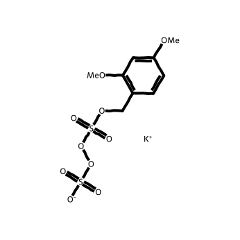 COc1ccc(COS(=O)(=O)OOS(=O)(=O)[O-])c(OC)c1.[K+]